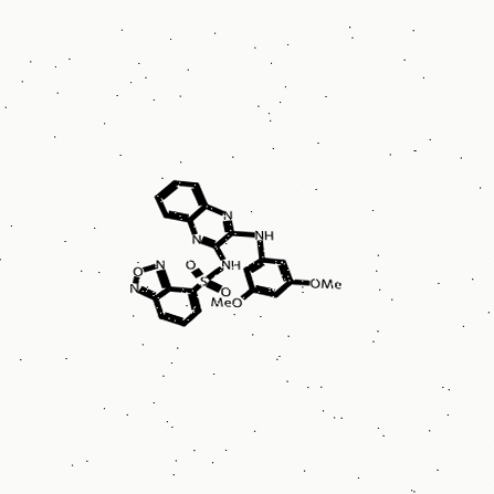 COc1cc(Nc2nc3ccccc3nc2NS(=O)(=O)c2cccc3nonc23)cc(OC)c1